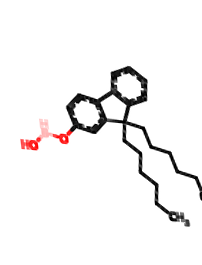 CCCCCCC1(CCCCCC)c2ccccc2-c2ccc(OBO)cc21